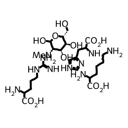 CN[C@H]1C(O)O[C@H](CO)[C@@H](O)[C@@H]1O.N=C(N)NCCCC(N)C(=O)O.NC(Cc1c[nH]cn1)C(=O)O.NCCCCC(N)C(=O)O